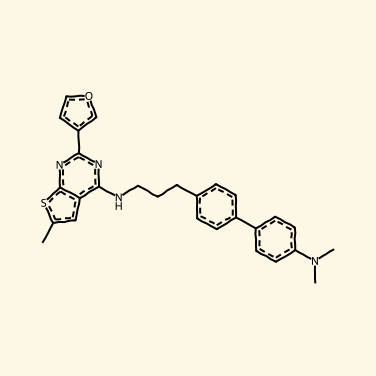 Cc1cc2c(NCCCc3ccc(-c4ccc(N(C)C)cc4)cc3)nc(-c3ccoc3)nc2s1